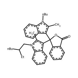 CCCCC(CC)Cn1c(C)c(C2(c3c(C)n(CCCC)c4ccccc34)OC(=O)c3ccccc32)c2ccccc21